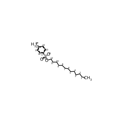 CCCCCCCCCCCCCOS(=O)(=O)c1ccc(C)cc1